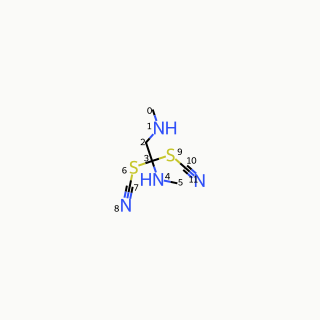 CNCC(NC)(SC#N)SC#N